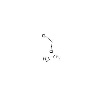 C.ClCCl.S